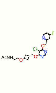 CC(=O)NCCO[C@H]1C[C@H](COc2ncnc(OCc3cc(F)ccn3)c2Cl)C1